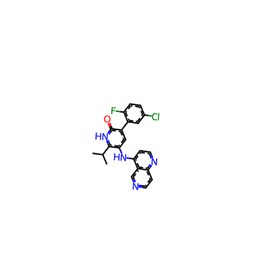 CC(C)c1[nH]c(=O)c(-c2cc(Cl)ccc2F)cc1Nc1ccnc2ccncc12